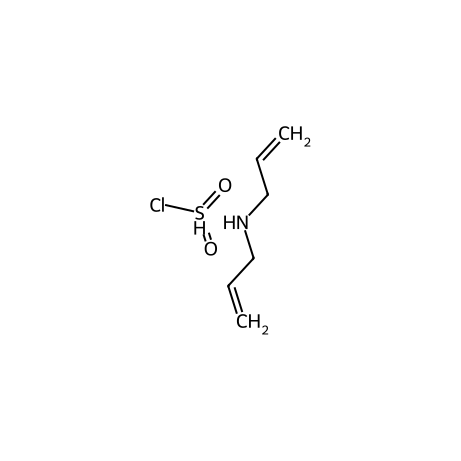 C=CCNCC=C.O=[SH](=O)Cl